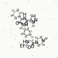 CCC(=O)N[C@H](Cc1ccc(CNC(=O)C(NC(=O)c2ccnn2C)C2CCCCC2)cc1)C(=O)N1CCN(C)CC1